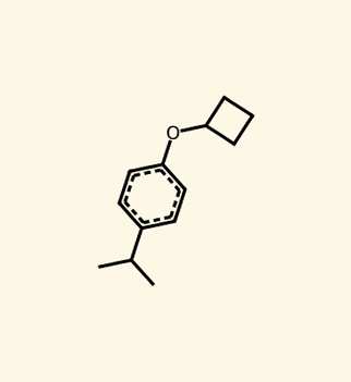 CC(C)c1ccc(OC2CCC2)cc1